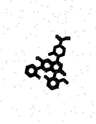 CCc1nccc(C)c1-n1c(=O)nc(N2CCN(C(=O)O)CC2C)c2cc(Cl)c(-c3ccccc3F)nc21